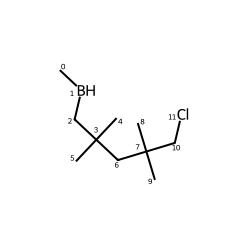 CBCC(C)(C)CC(C)(C)CCl